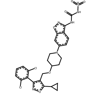 O=C(Nc1nsc2cc(N3CCC(OCc4c(-c5c(Cl)cccc5Cl)noc4C4CC4)CC3)ccc12)N[SH](=O)=O